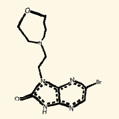 O=c1[nH]c2ncc(Br)nc2n1CCN1CCOCC1